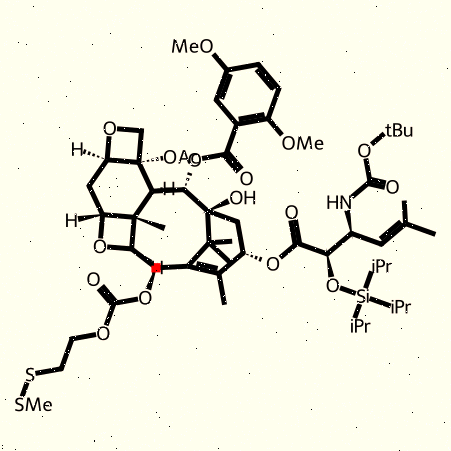 COc1ccc(OC)c(C(=O)O[C@H]2[C@@H]3[C@]4(OC(C)=O)CO[C@@H]4C[C@H]4O[C@@H]([C@H](OC(=O)OCCSSC)C5=C(C)[C@@H](OC(=O)[C@H](O[Si](C(C)C)(C(C)C)C(C)C)[C@H](C=C(C)C)NC(=O)OC(C)(C)C)C[C@]2(O)C5(C)C)[C@@]34C)c1